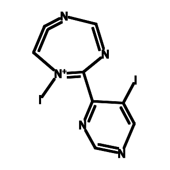 Ic1cncnc1C1=[N+](I)C=C=NC=N1